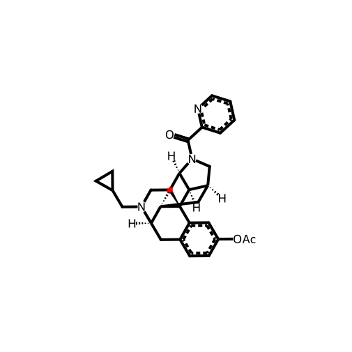 CC(=O)Oc1ccc2c(c1)[C@]13CCN(CC4CC4)[C@H](C2)[C@]12CC[C@@H]1[C@H]3[C@@H](CN1C(=O)c1ccccn1)C2